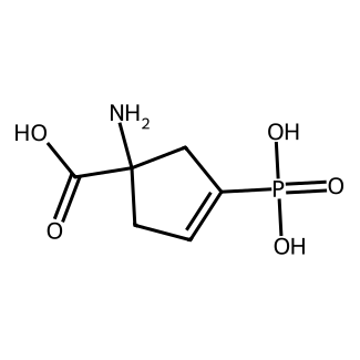 NC1(C(=O)O)CC=C(P(=O)(O)O)C1